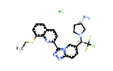 CCSc1cccc2ccc(-c3nnc4ccc([C@@H](N5CC[C@H](N)C5)C(F)(F)F)cn34)nc12.Cl